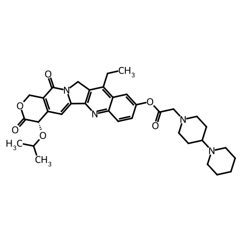 CCc1c2c(nc3ccc(OC(=O)CN4CCC(N5CCCCC5)CC4)cc13)-c1cc3c(c(=O)n1C2)COC(=O)[C@H]3OC(C)C